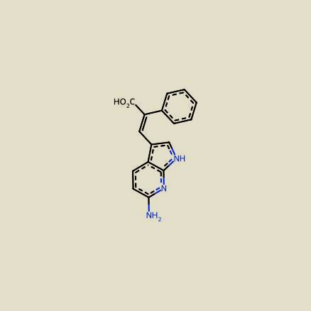 Nc1ccc2c(C=C(C(=O)O)c3ccccc3)c[nH]c2n1